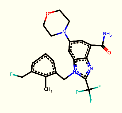 Cc1c(CF)cccc1Cn1c(C(F)(F)F)nc2c(C(N)=O)cc(N3CCOCC3)cc21